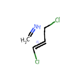 C=N.Cl/C=C/CCl